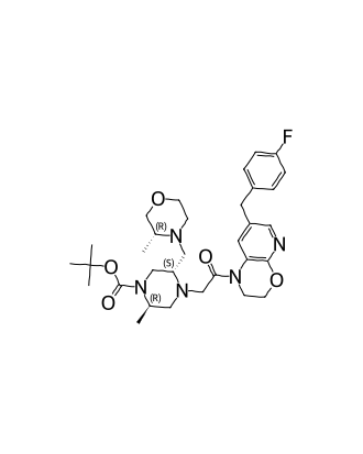 C[C@@H]1COCCN1C[C@H]1CN(C(=O)OC(C)(C)C)[C@H](C)CN1CC(=O)N1CCOc2ncc(Cc3ccc(F)cc3)cc21